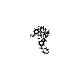 CC(C)(CC(O)(Cc1cc2cc(CN3CCOCC3)ccc2[nH]1)C(F)(F)F)c1cc(Br)ccc1O